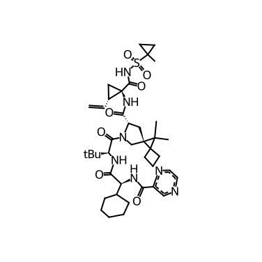 C=C[C@@H]1C[C@]1(NC(=O)[C@@H]1C[C@@]2(CN1C(=O)[C@@H](NC(=O)[C@@H](NC(=O)c1cnccn1)C1CCCCC1)C(C)(C)C)C(C)(C)C21CCC1)C(=O)NS(=O)(=O)C1(C)CC1